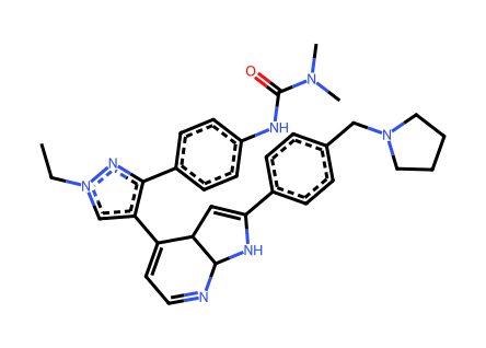 CCn1cc(C2=CC=NC3NC(c4ccc(CN5CCCC5)cc4)=CC23)c(-c2ccc(NC(=O)N(C)C)cc2)n1